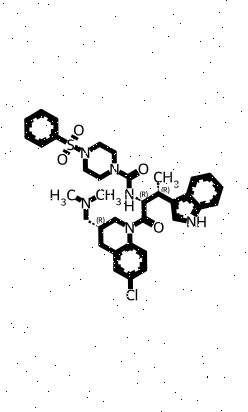 C[C@H](c1c[nH]c2ccccc12)[C@@H](NC(=O)N1CCN(S(=O)(=O)c2ccccc2)CC1)C(=O)N1C[C@@H](CN(C)C)Cc2cc(Cl)ccc21